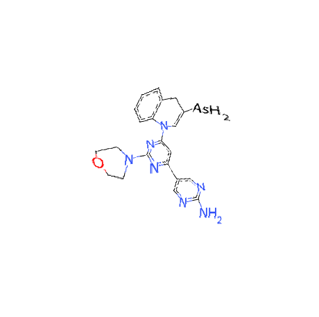 Nc1ncc(-c2cc(N3C=C([AsH2])Cc4ccccc43)nc(N3CCOCC3)n2)cn1